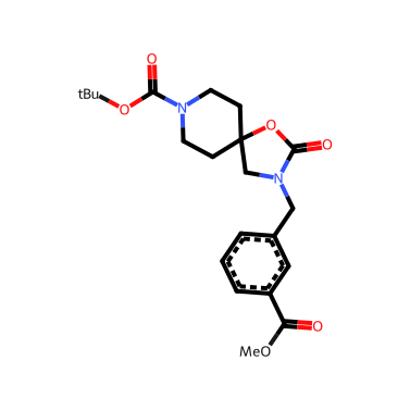 COC(=O)c1cccc(CN2CC3(CCN(C(=O)OC(C)(C)C)CC3)OC2=O)c1